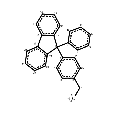 CCc1ccc(C2(c3ccccc3)c3ccccc3-c3ccccc32)cc1